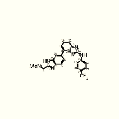 CNCc1nc2ccc(-c3cccc4nc(Nc5ccc(C(F)(F)F)cc5)nn34)cc2[nH]1